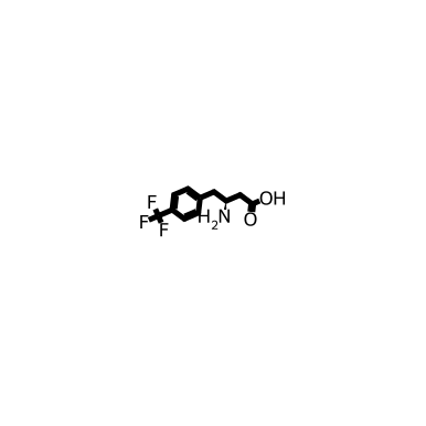 N[C@@H](CC(=O)O)Cc1ccc(C(F)(F)F)cc1